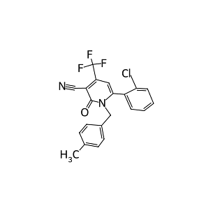 Cc1ccc(Cn2c(-c3ccccc3Cl)cc(C(F)(F)F)c(C#N)c2=O)cc1